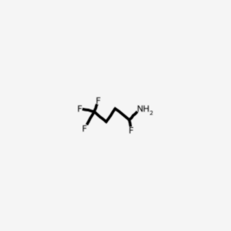 NC(F)CCC(F)(F)F